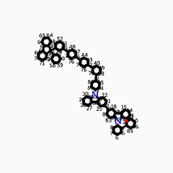 c1ccc(-c2ccccc2-n2c3ccccc3c3cc(-c4ccc5c(c4)c4ccccc4n5-c4ccc(-c5cccc(-c6ccc(-c7ccc(-c8cccc(C9(c%10ccccc%10)c%10ccccc%10-c%10ccccc%109)c8)cc7)cc6)c5)cc4)ccc32)cc1